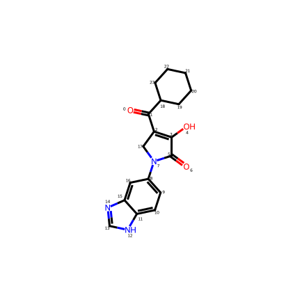 O=C(C1=C(O)C(=O)N(c2ccc3[nH]cnc3c2)C1)C1CCCCC1